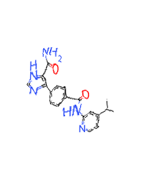 CC(C)c1ccnc(NC(=O)c2ccc(-c3nc[nH]c3C(N)=O)cc2)c1